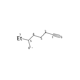 C#CCCCC([CH2])CC